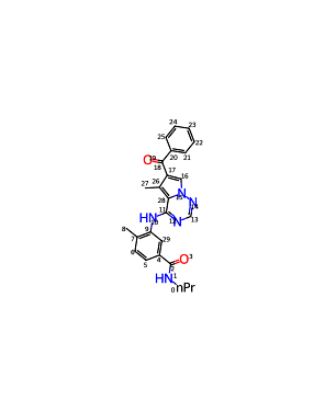 CCCNC(=O)c1ccc(C)c(Nc2ncnn3cc(C(=O)c4ccccc4)c(C)c23)c1